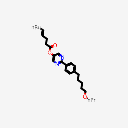 CCCCC=CCCC(=O)Oc1cnc(-c2ccc(CCCCCOCCC)cc2)nc1